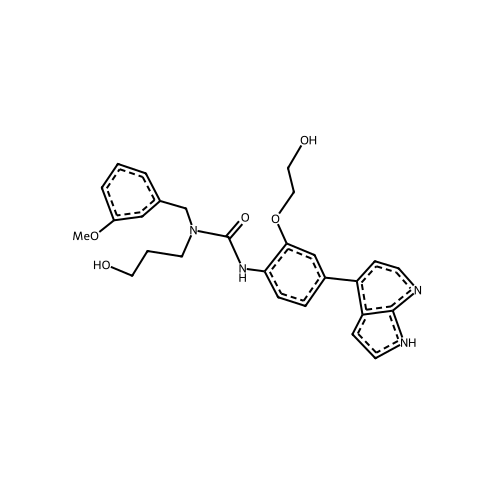 COc1cccc(CN(CCCO)C(=O)Nc2ccc(-c3ccnc4[nH]ccc34)cc2OCCO)c1